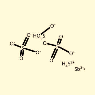 O=S(=O)([O-])O.O=S(=O)([O-])[O-].O=S(=O)([O-])[O-].[SH4+2].[Sb+3]